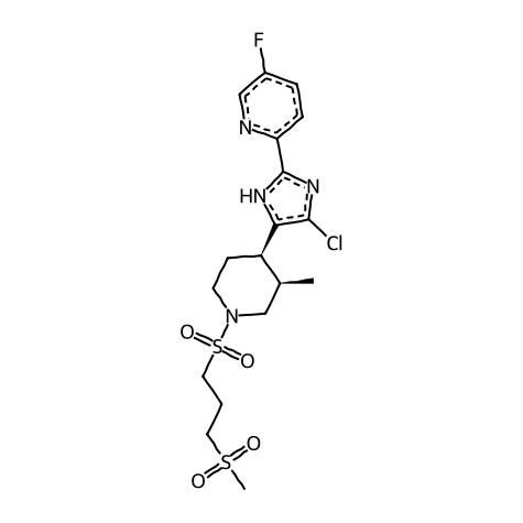 C[C@H]1CN(S(=O)(=O)CCCS(C)(=O)=O)CC[C@H]1c1[nH]c(-c2ccc(F)cn2)nc1Cl